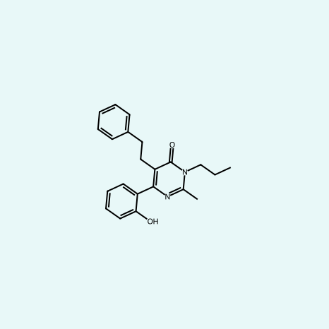 CCCn1c(C)nc(-c2ccccc2O)c(CCc2ccccc2)c1=O